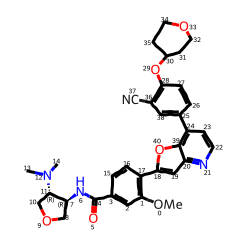 COc1cc(C(=O)N[C@H]2COC[C@@H]2N(C)C)ccc1-c1cc2nccc(-c3ccc(OC4CCOCC4)c(C#N)c3)c2o1